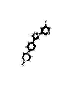 [O-][S+]1CCN(c2ccc(-c3cnn(-c4cncc(F)c4)c3)cc2)CC1